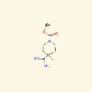 CC(C)(C)OC(=O)N1CCC(C)(C(=N)N)CC1